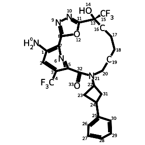 Nc1cc(C(F)(F)F)c2nc1-c1nnc(o1)[C@@](O)(C(F)(F)F)CCCCCN(C1CC(c3ccccc3)C1)C2=O